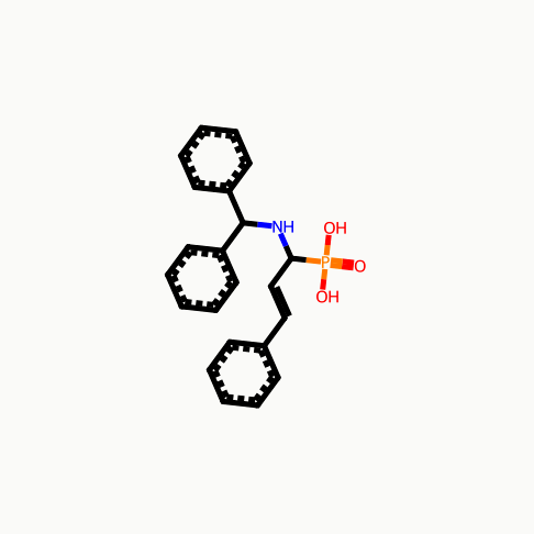 O=P(O)(O)C(/C=C/c1ccccc1)NC(c1ccccc1)c1ccccc1